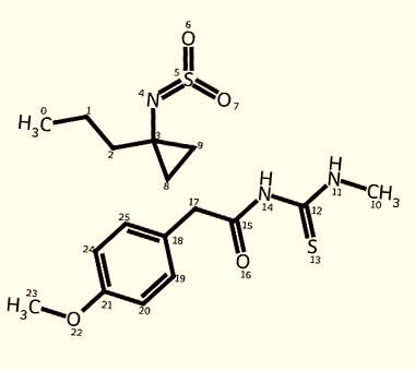 CCCC1(N=S(=O)=O)CC1.CNC(=S)NC(=O)Cc1ccc(OC)cc1